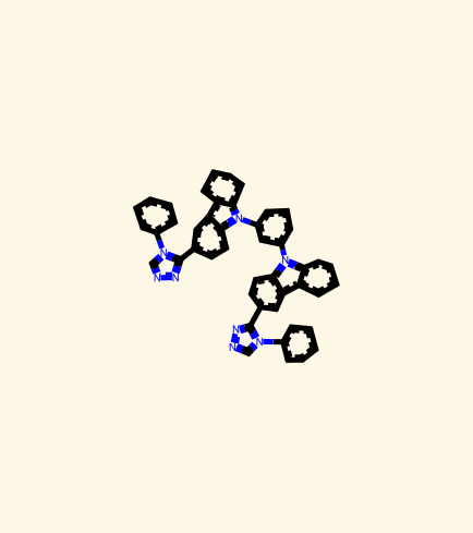 c1ccc(-n2cnnc2-c2ccc3c(c2)c2ccccc2n3-c2cccc(-n3c4ccccc4c4cc(-c5nncn5-c5ccccc5)ccc43)c2)cc1